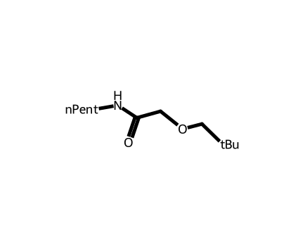 CCCCCNC(=O)COCC(C)(C)C